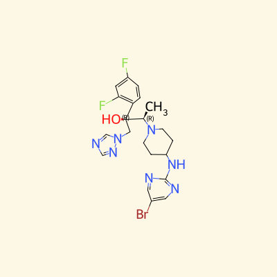 C[C@@H](N1CCC(Nc2ncc(Br)cn2)CC1)[C@](O)(Cn1cncn1)c1ccc(F)cc1F